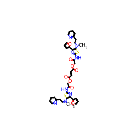 CN(CCc1ccccn1)c1sc(NC(=O)COC(=O)/C=C/C(=O)OCC(=O)Nc2nc(-c3ccco3)c(N(C)CCc3ccccn3)s2)nc1-c1ccco1